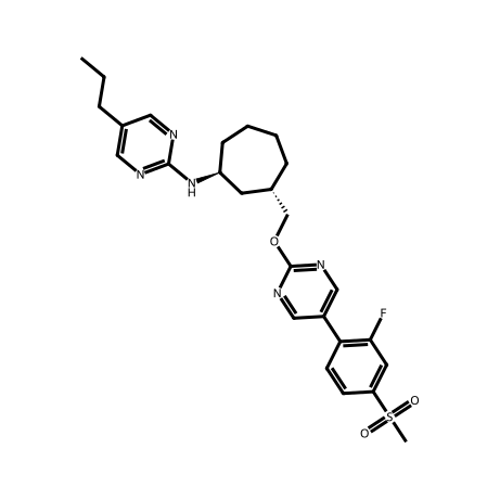 CCCc1cnc(N[C@H]2CCCC[C@H](COc3ncc(-c4ccc(S(C)(=O)=O)cc4F)cn3)C2)nc1